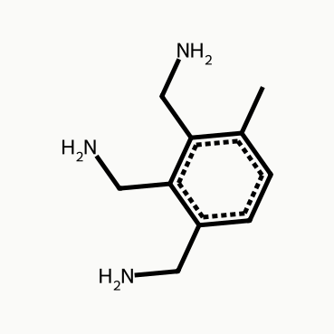 Cc1ccc(CN)c(CN)c1CN